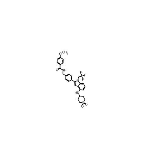 COc1ccc(C(=O)NCc2ccc(-c3cc4c(NC5CCS(=O)(=O)CC5)cccc4n3CC(F)(F)F)cc2)cc1